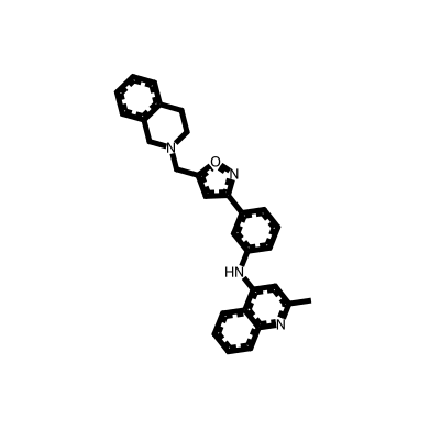 Cc1cc(Nc2cccc(-c3cc(CN4CCc5ccccc5C4)on3)c2)c2ccccc2n1